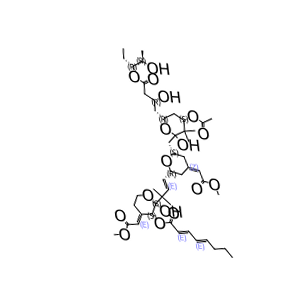 CCC/C=C/C=C/C(=O)O[C@H]1/C(=C/C(=O)OC)CCO[C@@]1(O)C(C)(C)/C=C/[C@H]1C/C(=C\C(=O)OC)C[C@@H](CC2(O)O[C@H](C[C@@H](O)CC(=O)O[C@H](CC)[C@@H](C)O)C[C@H](OC(C)=O)C2(C)C)O1